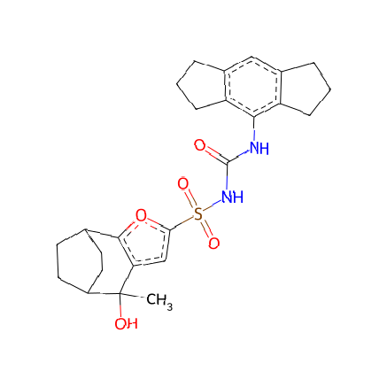 CC1(O)c2cc(S(=O)(=O)NC(=O)Nc3c4c(cc5c3CCC5)CCC4)oc2C2CCC1CC2